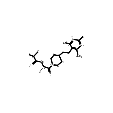 Cc1nc(N)c(CCC2CCN(C(=O)[C@H](C)NC(=O)C(C)C)CC2)c(Cl)n1